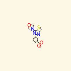 COC(=O)c1cccc(-c2nc(N3CCOCC3)c3sccc3n2)c1